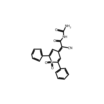 N#CC(C(=O)NC(N)=O)=C1C=C(c2ccccc2)S(=O)(=O)C(c2ccccc2)=C1